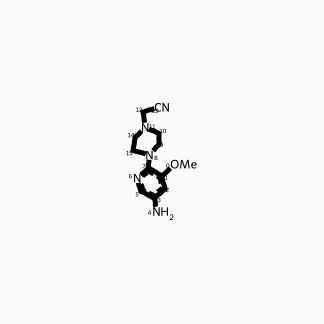 COc1cc(N)cnc1N1CCN(CC#N)CC1